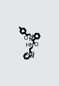 Cc1ccc(C(=O)Cn2nc(C(=O)NCCc3nnc4ccccn34)c3ccccc32)cc1